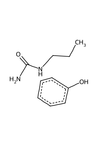 CCCNC(N)=O.Oc1ccccc1